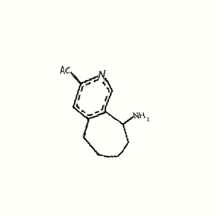 CC(=O)c1cc2c(cn1)C(N)CCCC2